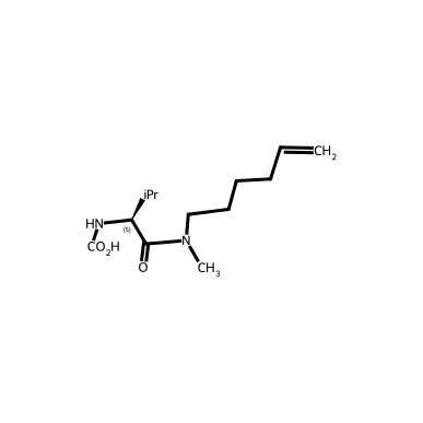 C=CCCCCN(C)C(=O)[C@@H](NC(=O)O)C(C)C